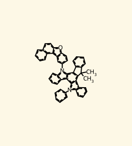 CC1(C)c2ccccc2-c2c1c1c3ccccc3n(-c3ccccc3)c1c1c3ccccc3n(-c3ccc4oc5ccc6ccccc6c5c4c3)c21